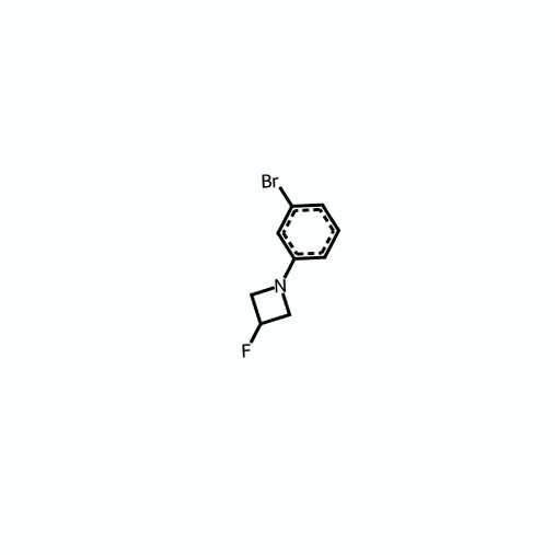 FC1CN(c2cccc(Br)c2)C1